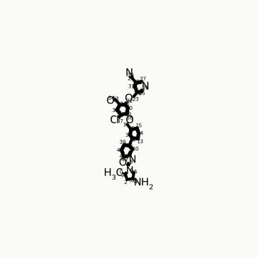 C[C@@H]1C[C@H](N)CN1c1nc2cc(-c3cccc(COc4cc(OCc5cncc(C#N)c5)c(C=O)cc4Cl)c3)ccc2o1